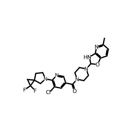 Cc1ccc2c(n1)NC(N1CCN(C(=O)c3cnc(N4CCC5(C4)CC5(F)F)c(Cl)c3)CC1)O2